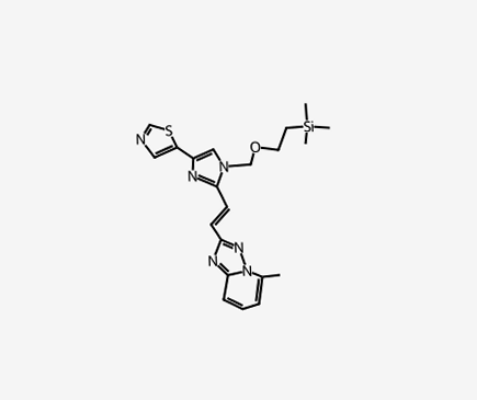 Cc1cccc2nc(C=Cc3nc(-c4cncs4)cn3COCC[Si](C)(C)C)nn12